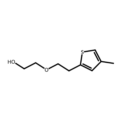 Cc1csc(CCOCCO)c1